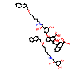 O=C(O)c1cc2ccccc2c(Cc2c(O)c(C(=O)O)cc3ccccc23)c1O.Oc1cc(O)cc(C(O)CNCCCCCCOCCc2ccc3ccccc3c2)c1.Oc1cc(O)cc(C(O)CNCCCCCCOCCc2ccc3ccccc3c2)c1